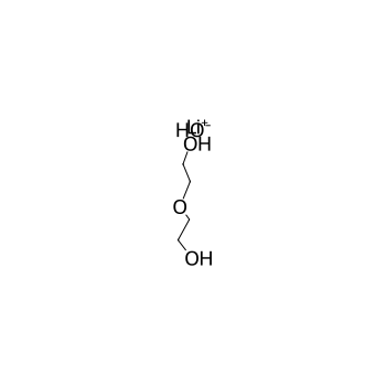 OCCOCCO.[Li+].[OH-]